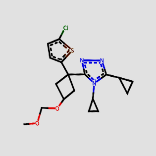 COCOC1CC(c2ccc(Cl)s2)(c2nnc(C3CC3)n2C2CC2)C1